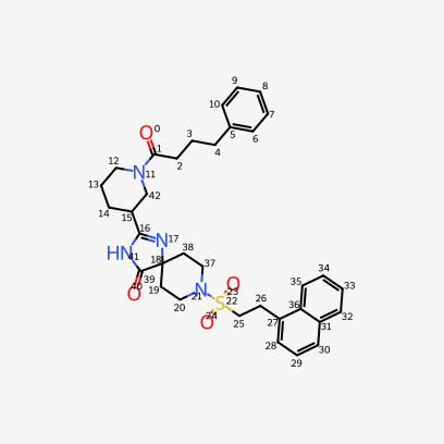 O=C(CCCc1ccccc1)N1CCCC(C2=NC3(CCN(S(=O)(=O)CCc4cccc5ccccc45)CC3)C(=O)N2)C1